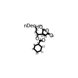 CCCCCCCCCCCCC(OC(=O)C1CCCCC1)C1=CC(=O)OC1O